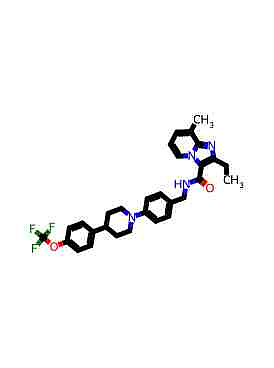 CCc1nc2c(C)cccn2c1C(=O)NCc1ccc(N2CCC(c3ccc(OC(F)(F)F)cc3)CC2)cc1